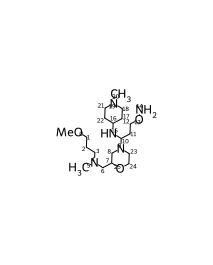 COCCCN(C)CC1CN(C(CCON)NC2CCN(C)CC2)CCO1